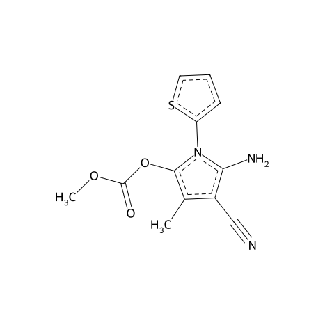 COC(=O)Oc1c(C)c(C#N)c(N)n1-c1cccs1